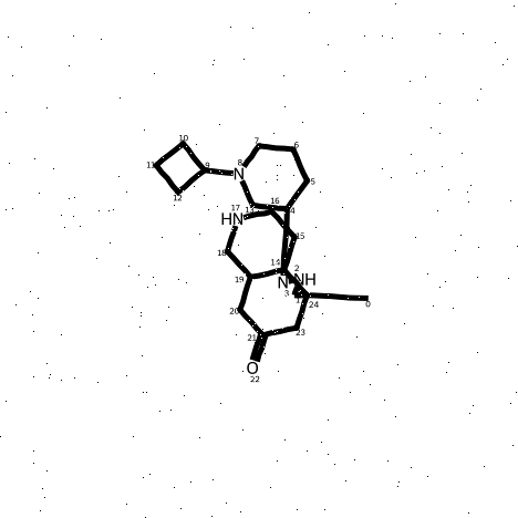 CC1NN(C2CCCN(C3CCC3)C2)C23CCNCC2CC(=O)CC13